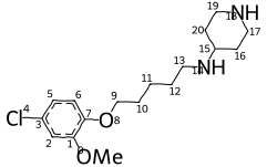 COc1cc(Cl)ccc1OCCCCCNC1CCNCC1